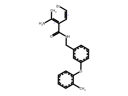 CC/C=C\C(C(=O)NCc1cccc(Oc2ccccc2C)c1)=C(/C)N